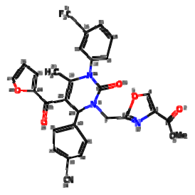 COC(=O)c1coc(CN2C(=O)N(c3cccc(C(F)(F)F)c3)C(C)=C(C(=O)c3ccco3)C2c2ccc(C#N)cc2)n1